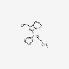 CCCSC(c1ccccc1)c1cc(C=O)c2n1CCC=C2